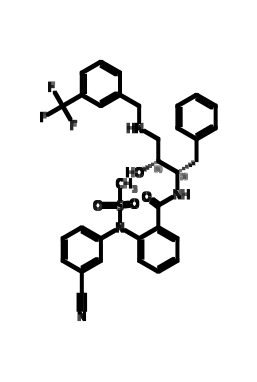 CS(=O)(=O)N(c1cccc(C#N)c1)c1ccccc1C(=O)N[C@@H](Cc1ccccc1)[C@H](O)CNCc1cccc(C(F)(F)F)c1